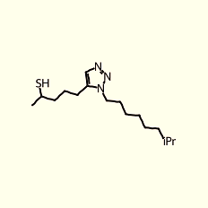 CC(C)CCCCCCn1nncc1CCCC(C)S